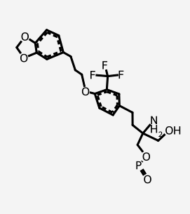 NC(CO)(CCc1ccc(OCCCc2ccc3c(c2)OCO3)c(C(F)(F)F)c1)COP=O